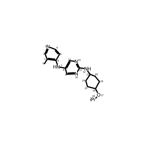 Cc1cnccc1Nc1cnc(NC2CCC(OC(C)C)CC2)nc1